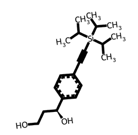 CC(C)[Si](C#Cc1ccc([C@@H](O)CCO)cc1)(C(C)C)C(C)C